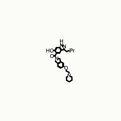 CC(C)Cc1n[nH]c2cc(O)c(C(=O)N3Cc4ccc(OCCN5CCCCC5)cc4C3)cc12